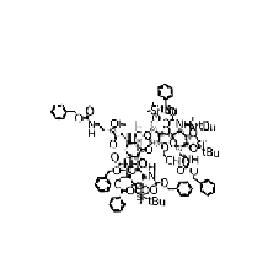 CC(C)(C)[Si](C)(C)OC[C@H]1O[C@@H](O[C@@H]2[C@@H](O)[C@H](NC(=O)[C@@H](O)CCNC(=O)OCc3ccccc3)C[C@H](NC(=O)OCc3ccccc3)[C@H]2O[C@H]2O[C@@H]3COC(c4ccccc4)O[C@H]3[C@H](O[Si](C)(C)C(C)(C)C)[C@H]2NC(=O)OCc2ccccc2)[C@H](OCC=O)[C@@H]1O[C@H]1O[C@@H](CNC(=O)OCc2ccccc2)[C@@H](O[Si](C)(C)C(C)(C)C)[C@H](O[Si](C)(C)C(C)(C)C)[C@H]1NC(=O)OCc1ccccc1